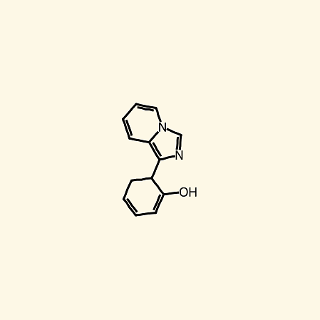 OC1=CC=CCC1c1ncn2ccccc12